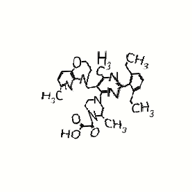 CCc1cccc(CC)c1-c1nc(C)c(CN2CCOc3ccc(C)nc32)c(N2CCN(C(=O)C(=O)O)C(C)C2)n1